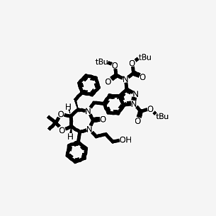 CC(C)(C)OC(=O)N(C(=O)OC(C)(C)C)c1nn(C(=O)OC(C)(C)C)c2ccc(CN3C(=O)N(CCCO)C(c4ccccc4)[C@@H]4OC(C)(C)O[C@H]4[C@H]3Cc3ccccc3)cc12